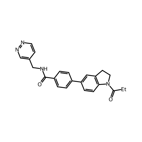 CCC(=O)N1CCc2cc(-c3ccc(C(=O)NCc4ccnnc4)cc3)ccc21